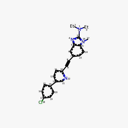 CCN(CC)c1nc2cc(C#Cc3ccc(-c4ccc(Cl)cc4)cn3)ccc2n1C